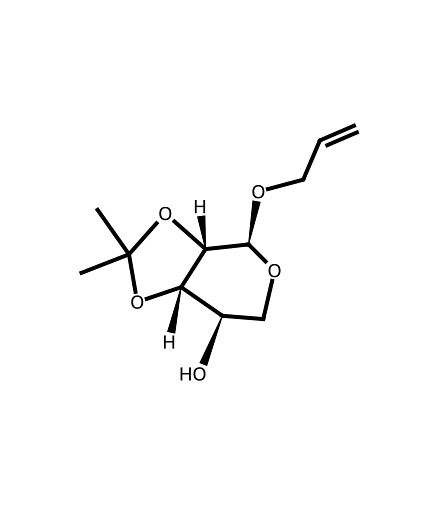 C=CCO[C@H]1OC[C@@H](O)[C@@H]2OC(C)(C)O[C@H]12